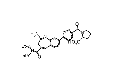 CCCN(OCC)C(=O)C1=Cc2ccc(-c3ccc(C(=O)N4CCC[C@@H]4C(=O)O)cc3)cc2N=C(N)C1